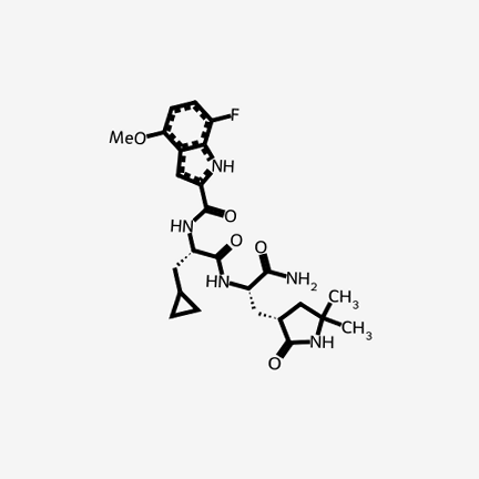 COc1ccc(F)c2[nH]c(C(=O)N[C@@H](CC3CC3)C(=O)N[C@@H](C[C@@H]3CC(C)(C)NC3=O)C(N)=O)cc12